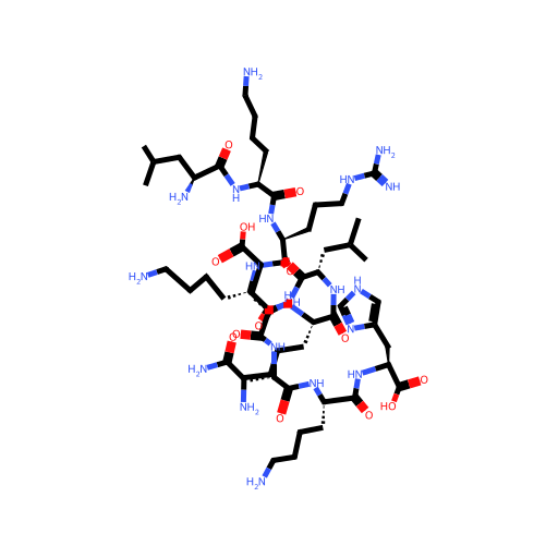 CC(C)C[C@H](NC(=O)[C@H](CCCCN)NC(=O)[C@H](CCCCN)NC(=O)[C@H](CCCNC(=N)N)NC(=O)[C@H](CCCCN)NC(=O)[C@@H](N)CC(C)C)C(=O)N[C@@H](CCC(=O)O)C(=O)N[C@@H](CC(N)=O)C(=O)N[C@@H](CCCCN)C(=O)N[C@@H](Cc1c[nH]cn1)C(=O)O